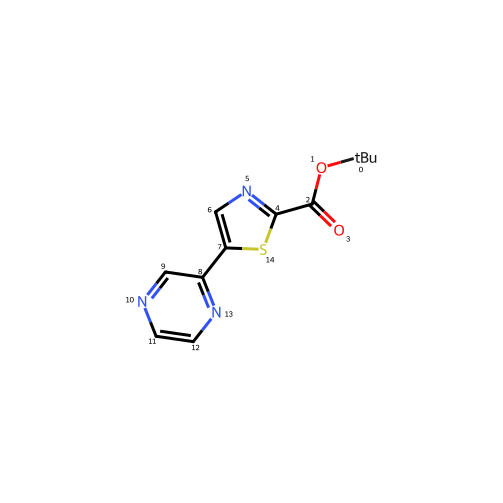 CC(C)(C)OC(=O)c1ncc(-c2cnccn2)s1